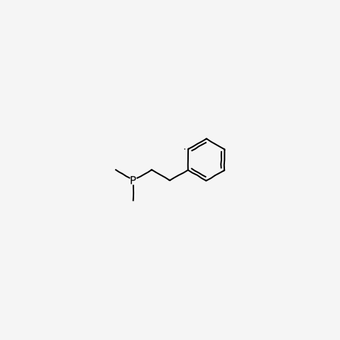 CP(C)CCc1[c]cccc1